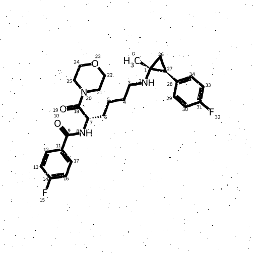 C[C@@]1(NCCCC[C@H](NC(=O)c2ccc(F)cc2)C(=O)N2CCOCC2)C[C@H]1c1ccc(F)cc1